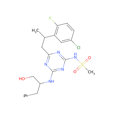 CC(C)CC(CO)Nc1nc(CC(C)c2cc(Cl)ccc2F)nc(NS(C)(=O)=O)n1